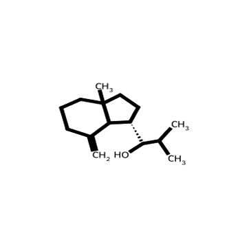 C=C1CCCC2(C)CC[C@H](C(O)C(C)C)C12